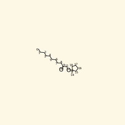 CCCCCCCCCC(=O)COC1(C)CCCC1